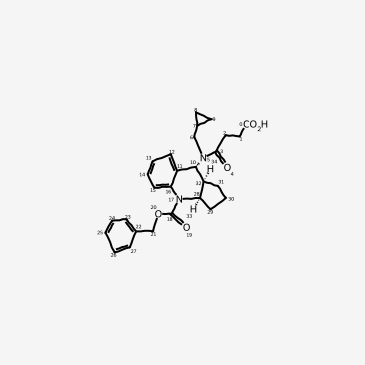 O=C(O)CCC(=O)N(CC1CC1)[C@H]1c2ccccc2N(C(=O)OCc2ccccc2)[C@@H]2CCC[C@@H]21